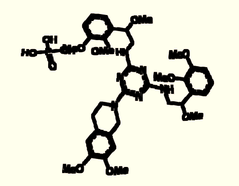 COc1cc2c(cc1OC)CN(c1nc(NCC(OC)c3cccc(OC)c3OC)nc(NCC(OC)c3cccc(OC)c3OC)n1)CC2.O=P(O)(O)O